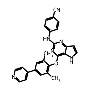 Cc1cc(-c2ccncc2)cc(C)c1Oc1nc(Nc2ccc(C#N)cc2)nc2cc[nH]c12